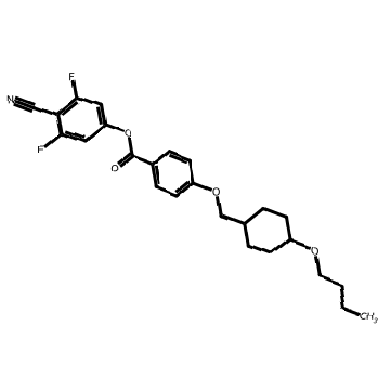 CCCCOC1CCC(COc2ccc(C(=O)Oc3cc(F)c(C#N)c(F)c3)cc2)CC1